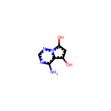 Nc1ncnn2c(O)cc(O)c12